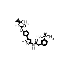 CC1(NC(=O)O[C@@H]2CCC(c3cc(NC(=O)Cc4cccc(P(C)(C)=O)c4)n[nH]3)C2)CC1